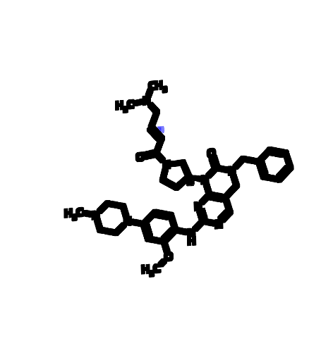 COc1cc(N2CCN(C)CC2)ccc1Nc1ncc2c(n1)N([C@H]1CCN(C(=O)/C=C/CN(C)C)C1)C(=O)N(Cc1ccccc1)C2